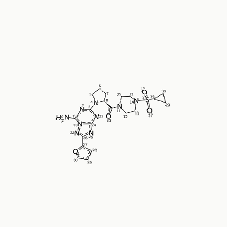 Nc1nc(N2CCC[C@H]2C(=O)N2CCN(S(=O)(=O)C3CC3)CC2)nc2nc(-c3ccco3)nn12